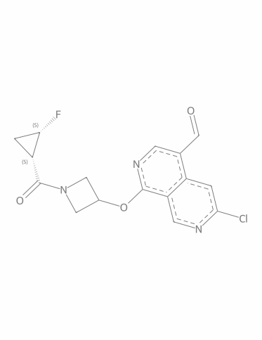 O=Cc1cnc(OC2CN(C(=O)[C@@H]3C[C@@H]3F)C2)c2cnc(Cl)cc12